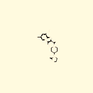 O=C(c1nc2c(C(F)(F)F)cc(Cl)cn2c1Cl)N1CCC(N2CCOC2=O)CC1